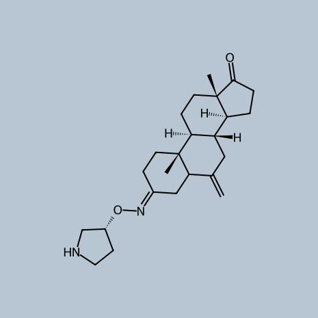 C=C1C[C@@H]2[C@H](CC[C@]3(C)C(=O)CC[C@@H]23)[C@@]2(C)CCC(=NO[C@@H]3CCNC3)CC12